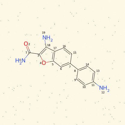 NC(=O)c1oc2cc(-c3ccc(N)cc3)ccc2c1N